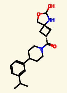 CC(C)c1cccc(C2CCN(C(=O)[C@H]3C[C@]4(COC(O)N4)C3)CC2)c1